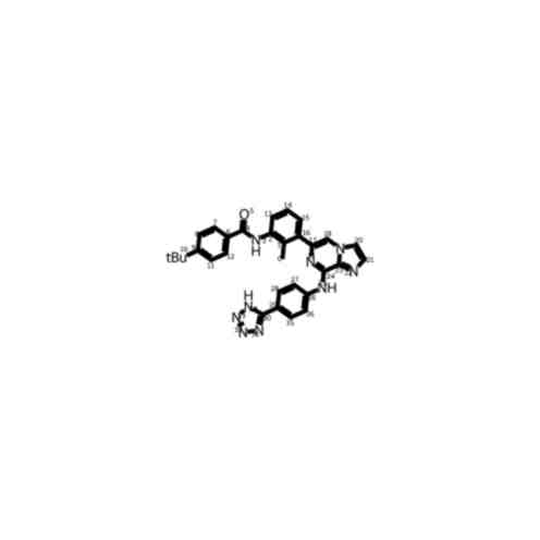 Cc1c(NC(=O)c2ccc(C(C)(C)C)cc2)cccc1-c1cn2ccnc2c(Nc2ccc(-c3nnn[nH]3)cc2)n1